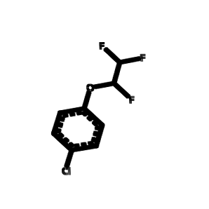 FC(F)C(F)Oc1ccc(Cl)cc1